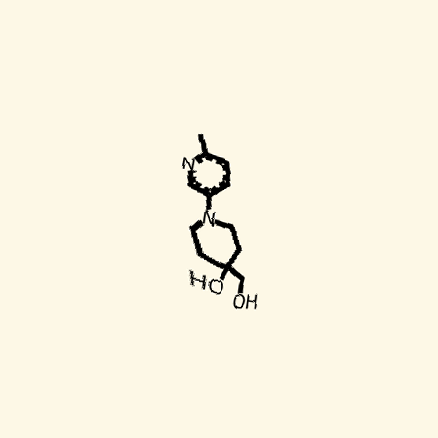 Cc1ccc(N2CCC(O)(CO)CC2)cn1